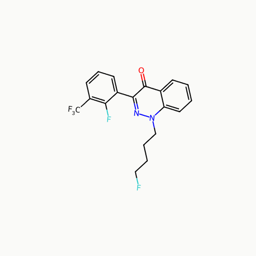 O=c1c(-c2cccc(C(F)(F)F)c2F)nn(CCCCF)c2ccccc12